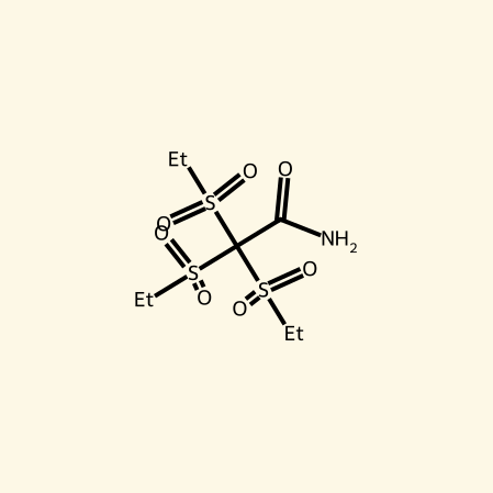 CCS(=O)(=O)C(C(N)=O)(S(=O)(=O)CC)S(=O)(=O)CC